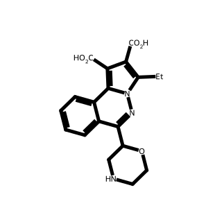 CCc1c(C(=O)O)c(C(=O)O)c2c3ccccc3c(C3CNCCO3)nn12